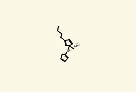 CCCCC1=C[C](C)([Ti+2][C]2=CC=CC2)C=C1.[Cl-].[Cl-]